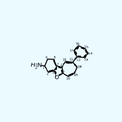 NC1C=c2oc3c(c2=CC1)C=C(c1ccccc1)CC=C3